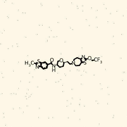 Cc1nc2ccc(C(=O)N[C@H]3CC[C@H](CCN4CCc5nc(OCC(F)(F)F)sc5CC4)OC3)cc2s1